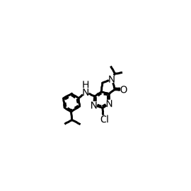 CC(C)c1cccc(Nc2nc(Cl)nc3c2CN(C(C)C)C3=O)c1